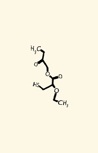 CCOC(CS)C(=O)OCC(=O)CC